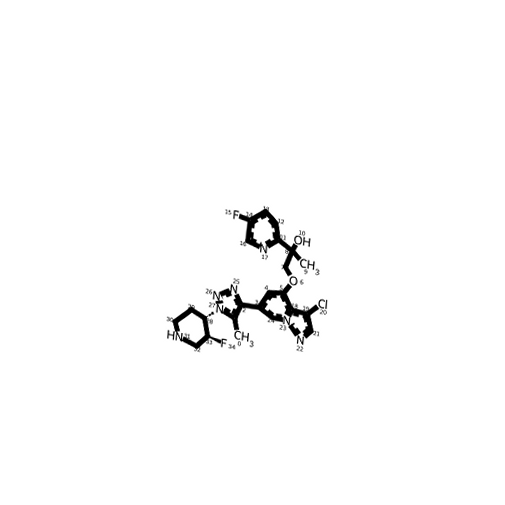 Cc1c(-c2cc(OCC(C)(O)c3ccc(F)cn3)c3c(Cl)cnn3c2)nnn1[C@H]1CCNC[C@@H]1F